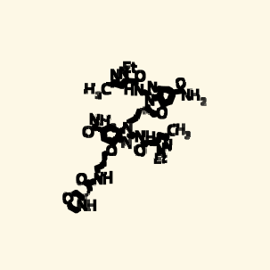 CCn1nc(C)cc1C(=O)Nc1nc2c(OCCCNC(=O)C[C@H]3COCCN3)cc(C(N)=O)cc2n1CCC[C@H]1COc2cc(C(N)=O)cc3nc(NC(=O)c4cc(C)nn4CC)n1c23